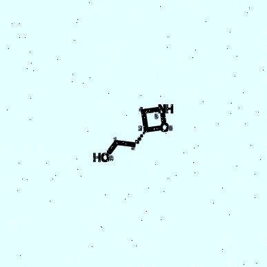 OCC[C@@H]1CNO1